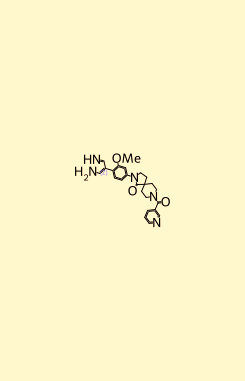 COc1cc(N2CCC3(CCN(C(=O)c4cccnc4)CC3)C2=O)ccc1/C(C=N)=C/N